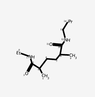 CCNC(=O)C(C)CCC(C)C(=O)NCC(C)C